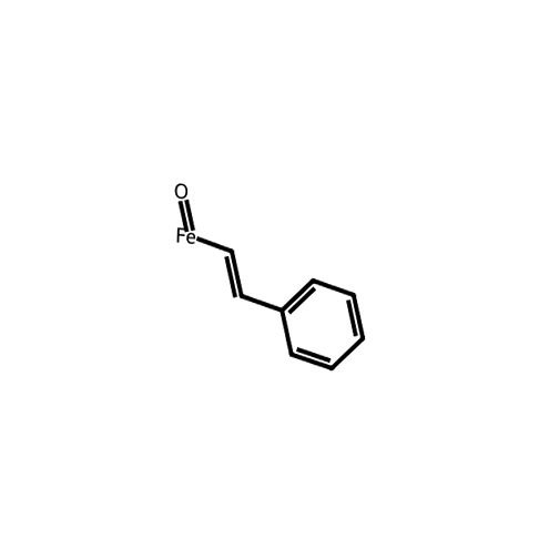 [O]=[Fe][CH]=Cc1ccccc1